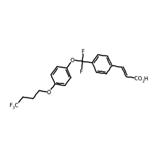 O=C(O)C=Cc1ccc(C(F)(F)Oc2ccc(OCCCC(F)(F)F)cc2)cc1